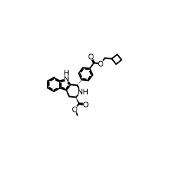 COC(=O)[C@H]1Cc2c([nH]c3ccccc23)[C@H](c2ccc(C(=O)OCC3CCC3)cc2)N1